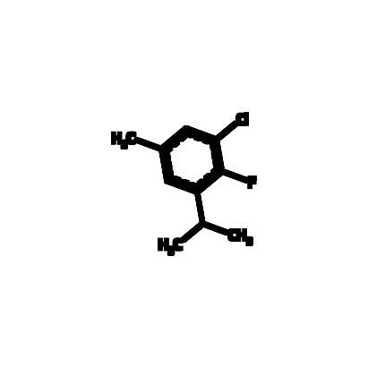 Cc1cc(Cl)c(F)c(C(C)C)c1